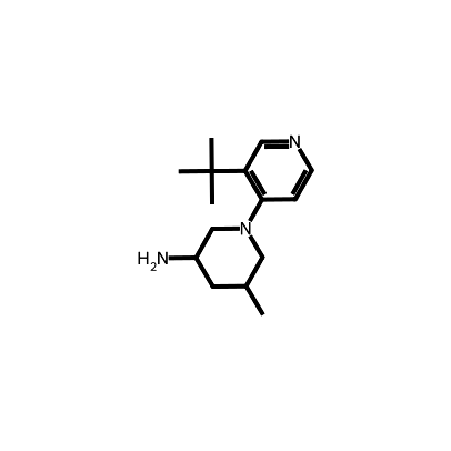 CC1CC(N)CN(c2ccncc2C(C)(C)C)C1